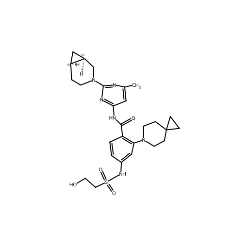 Cc1cc(NC(=O)c2ccc(NS(=O)(=O)CCO)cc2N2CCC3(CC2)CC3)nc(N2CC[C@H]3C[C@H]3C2)n1